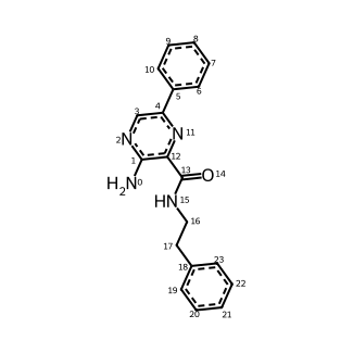 Nc1ncc(-c2ccccc2)nc1C(=O)NCCc1ccccc1